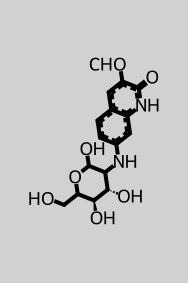 O=Cc1cc2ccc(NC3C(O)OC(CO)[C@H](O)[C@H]3O)cc2[nH]c1=O